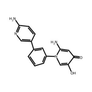 Nc1ccc(-c2cccc(-n3cc(O)c(=O)cc3N)c2)cn1